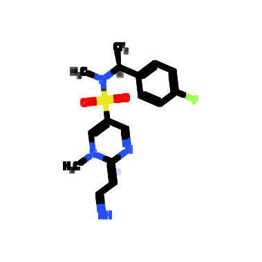 CN1C=C(S(=O)(=O)N(C)[C@H](c2ccc(F)cc2)C(F)(F)F)C=N/C1=C/C=N